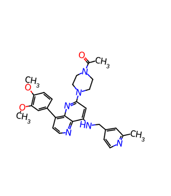 COc1ccc(-c2ccnc3c(NCc4ccnc(C)c4)cc(N4CCN(C(C)=O)CC4)nc23)cc1OC